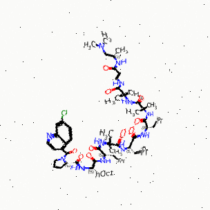 CCCCCCCC[C@H](NC(=O)[C@@H]1CCCN1C(=O)c1ccnc2cc(Cl)ccc12)C(=O)N[C@@H](CC(C)C)C(=O)NC(C)(C)C(=O)N[C@@H](CC(C)C)C(=O)N[C@@H](CC(C)C)C(=O)NC(C)(C)C(=O)NC(C)(C)C(=O)NCCC(=O)N[C@@H](C)CN(C)C